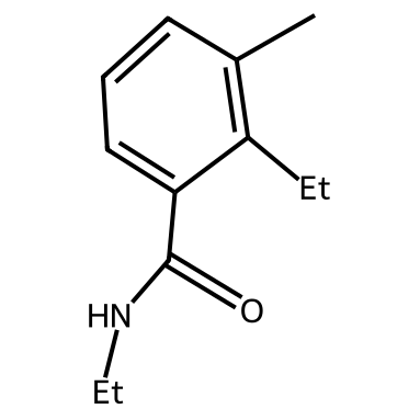 CCNC(=O)c1cccc(C)c1CC